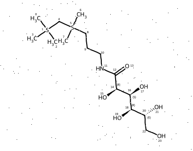 CS(C)(C)CS(C)(C)CCCNC(=O)[C@H](O)[C@@H](O)[C@H](O)[C@H](O)CO